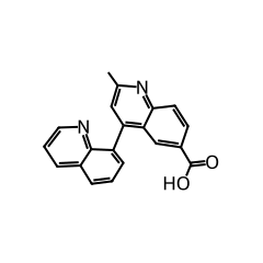 Cc1cc(-c2cccc3cccnc23)c2cc(C(=O)O)ccc2n1